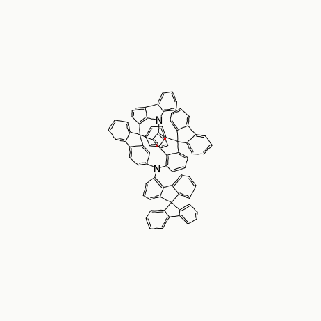 c1ccc2c(c1)-c1ccccc1C21c2ccccc2-c2c(N(c3ccc4c(c3)C3(c5ccccc5-4)c4ccccc4-n4c5ccccc5c5cccc3c54)c3cccc4c3-c3ccccc3C43c4ccccc4-c4ccccc43)cccc21